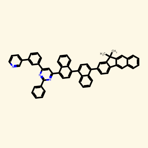 CC1(C)c2cc(-c3ccc(-c4ccc(-c5cc(-c6cccc(-c7cccnc7)c6)nc(-c6ccccc6)n5)c5ccccc45)c4ccccc34)ccc2-c2cc3ccccc3cc21